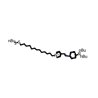 CCCCSSCCCCCCCCCCCCC[n+]1ccc(/C=C/c2ccc(N(CCCC)CCCC)cc2)cc1